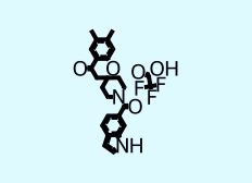 Cc1cc2c(cc1C)C(=O)CC1(CCN(C(=O)c3ccc4cc[nH]c4c3)CC1)O2.O=C(O)C(F)(F)F